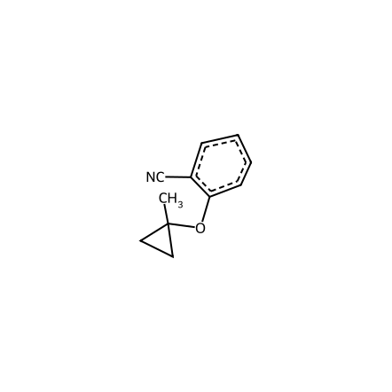 CC1(Oc2ccccc2C#N)CC1